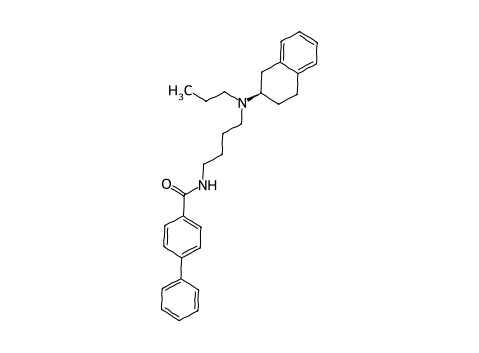 CCCN(CCCCNC(=O)c1ccc(-c2ccccc2)cc1)[C@@H]1CCc2ccccc2C1